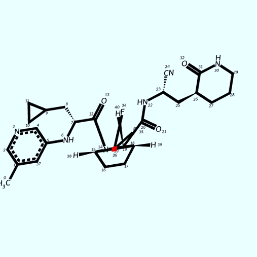 Cc1cncc(N[C@H](CC2CC2)C(=O)N2[C@H]3CC[C@@H]([C@H]2C(=O)N[C@H](C#N)C[C@@H]2CCCNC2=O)C(F)(F)C3)c1